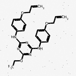 C=CCOc1ccc(Nc2nc(Nc3ccc(OCC=C)cc3)nc(OCC(F)(F)F)n2)cc1